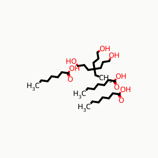 CCC(CCCO)(CCCO)CCCO.CCCCCCC(=O)O.CCCCCCC(=O)O.CCCCCCC(=O)O